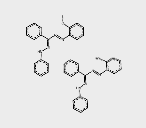 COc1ccccc1N=NC(=NNc1ccccc1)c1ccccc1.Oc1ccccc1N=NC(=NNc1ccccc1)c1ccccc1